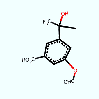 CC(O)(c1cc(OC=O)cc(C(=O)O)c1)C(F)(F)F